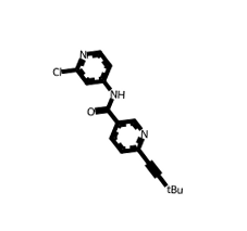 CC(C)(C)C#Cc1ccc(C(=O)Nc2ccnc(Cl)c2)cn1